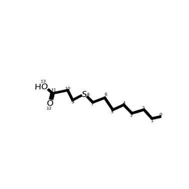 CCCCCCCCSCCC(=O)O